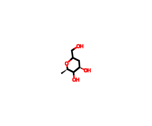 C[C@@H]1OC(CO)C[C@H](O)C1O